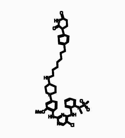 COc1cc(N2CCC(NCCCCCCCc3ccc(C4CCC(=O)NC4=O)cc3)CC2)ccc1Nc1ncc(Cl)c(Nc2ccccc2N(C)S(C)(=O)=O)n1